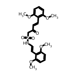 COc1cccc(OC)c1C=CNS(=O)(=O)CC(=O)C=Cc1c(OC)cccc1OC